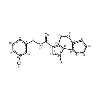 Cn1nc(C(=O)NCc2cccc(Cl)c2)c2c1-c1ccccc1OC2